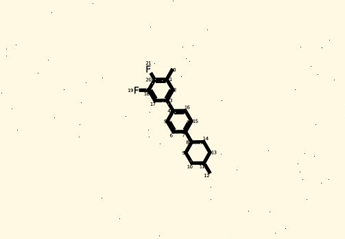 Cc1cc(-c2ccc(C3CCC(C)CC3)cc2)cc(F)c1F